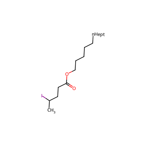 CCCCCCCCCCCCOC(=O)CCC(C)I